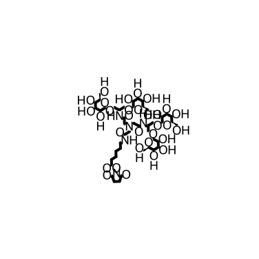 O=C(CN(CC(=O)NC(CO[C@H]1O[C@H](CO)[C@@H](O)[C@H](O)[C@@H]1O)CO[C@H]1O[C@H](CO)[C@@H](O)[C@H](O)[C@@H]1O)CC(=O)NC(CO[C@H]1O[C@H](CO)[C@@H](O)[C@H](O)[C@@H]1O)CO[C@H]1O[C@H](CO)[C@@H](O)[C@H](O)[C@@H]1O)NCCCCCC(=O)ON1C(=O)CCC1=O